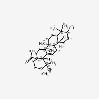 C[C@@H]1CC[C@]2(C(=O)O)CC[C@]3(C)C(=CC[C@@H]4[C@@]5(C)CCC(O)C(C)(C)C5CC[C@]43C)[C@@H]2[C@]1(C)O